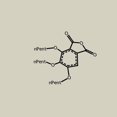 CCCCCOc1cc2c(c(OCCCCC)c1OCCCCC)C(=O)OC2=O